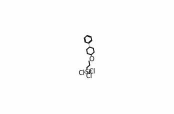 Cl[Si](Cl)(Cl)CCCO[C@H]1CC[C@H](c2ccccc2)CC1